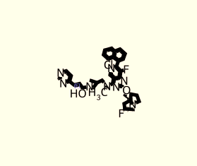 CN(CC1CN(C(O)/C=C/c2ccncn2)C1)c1nc(OC[C@@]23CCCN2C[C@H](F)C3)nc2c(F)c(-c3cccc4cccc(Cl)c34)ncc12